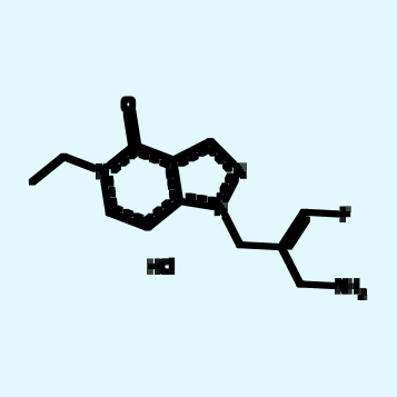 CCn1ccc2c(cnn2CC(=CF)CN)c1=O.Cl